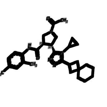 CC(=O)N1C[C@H](C(=O)Nc2ccc(C)cc2C)[C@@H](c2nnc(C3CC4(CCCCC4)C3)n2C2CC2)C1